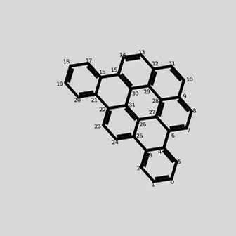 c1ccc2c(c1)c1ccc3ccc4ccc5c6ccccc6c6ccc2c2c1c3c4c5c62